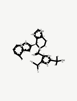 Cc1cccn2nc([C@H]3c4nc[nH]c4CCN3C(=O)c3oc(C(C)(C)O)nc3C(F)F)cc12